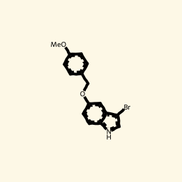 COc1ccc(COc2ccc3[nH]cc(Br)c3c2)cc1